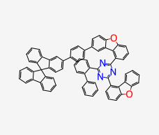 c1ccc(-c2ccccc2-c2nc(-c3cccc4oc5ccccc5c34)nc(-c3cccc4oc5ccc(-c6ccc(-c7ccc8c(c7)-c7ccccc7C87c8ccccc8-c8ccccc87)cc6)cc5c34)n2)cc1